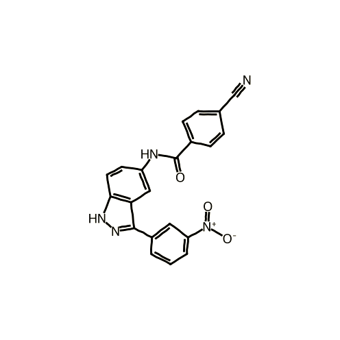 N#Cc1ccc(C(=O)Nc2ccc3[nH]nc(-c4cccc([N+](=O)[O-])c4)c3c2)cc1